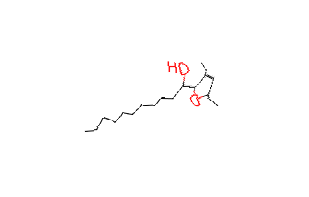 CCCCCCCCCCC(O)C1OC(C)CC1C